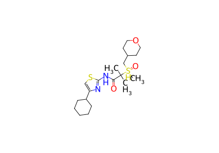 CC(C)(C(=O)Nc1nc(C2CCCCC2)cs1)[SH](C)(=O)CC1CCOCC1